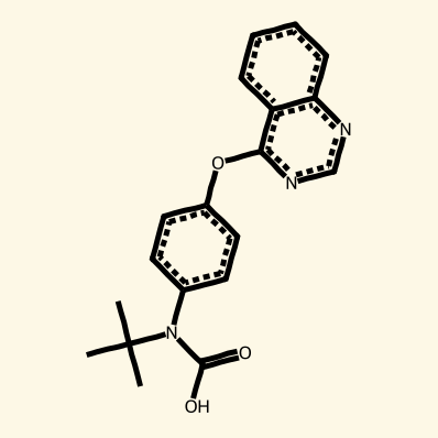 CC(C)(C)N(C(=O)O)c1ccc(Oc2ncnc3ccccc23)cc1